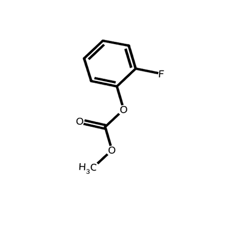 COC(=O)Oc1ccccc1F